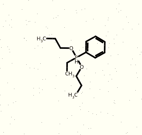 CCCO[PH](CC)(OCCC)c1ccccc1